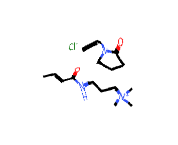 C=CN1CCCC1=O.CC=CC(=O)NCCC[N+](C)(C)C.[Cl-]